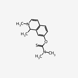 CC1c2cc(OC(=S)N(C)C)ccc2C=CN1C